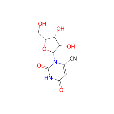 N#Cc1cc(=O)[nH]c(=O)n1[C@@H]1O[C@H](CO)[C@H](O)C1O